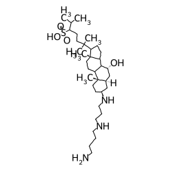 CC(C)C(CCC(C)(C)C1CCC2C3C(CC[C@@]21C)[C@@]1(C)CC[C@H](NCCCNCCCCN)C[C@@H]1C[C@H]3O)S(=O)(=O)O